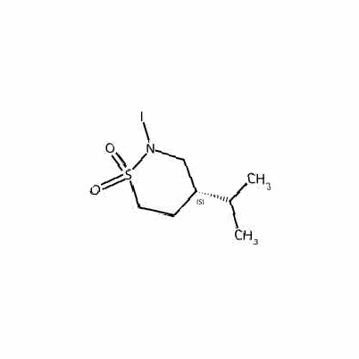 CC(C)[C@@H]1CCS(=O)(=O)N(I)C1